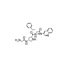 NCC(=O)N[C@H]1CN[C@H](C(=O)N[C@H](CCc2ccccc2)C(=O)Nc2cnc3ccccc3c2)C1